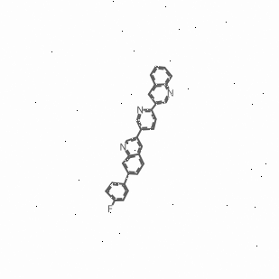 Fc1ccc(-c2ccc3cc(-c4ccc(-c5cnc6ccccc6c5)nc4)cnc3c2)cc1